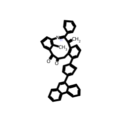 C=C1/C(c2ccccc2)=N\c2cccc(c2C)C(=O)C(=O)Cc2c1cccc2-c1ccc(-c2cc3ccccc3c3ccccc23)cc1